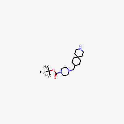 CC(C)(C)OC(=O)N1CCN(CC2CCC3(CCNCC3)CC2)CC1